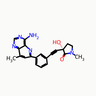 Cc1cc(-c2cccc(C#C[C@@]3(O)CCN(C)C3=O)c2)nc2c(N)ncnc12